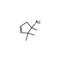 [CH2]C(=O)C1(C)CC=CC1(C)C